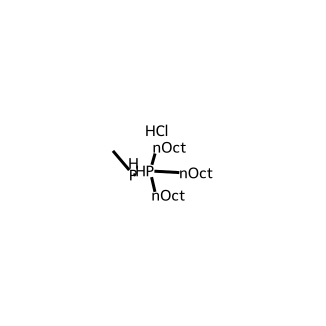 CCCCCCCC[PH](CCCCCCCC)(CCCCCCCC)PC.Cl